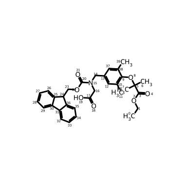 CCOC(=O)C(C)(C)Oc1c(C)cc(CN(CC(=O)O)C(=O)OCC2c3ccccc3-c3ccccc32)cc1C